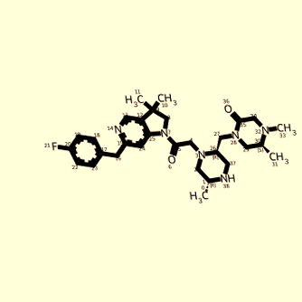 C[C@@H]1CN(CC(=O)N2CC(C)(C)c3cnc(Cc4ccc(F)cc4)cc32)[C@@H](CN2C[C@H](C)N(C)CC2=O)CN1